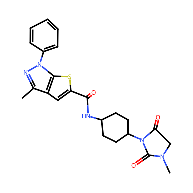 Cc1nn(-c2ccccc2)c2sc(C(=O)NC3CCC(N4C(=O)CN(C)C4=O)CC3)cc12